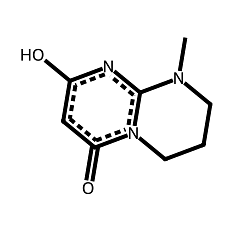 CN1CCCn2c1nc(O)cc2=O